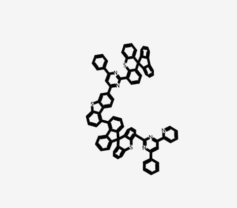 c1ccc(-c2cc(-c3ccc4c(c3)sc3cccc(-c5cccc6c5-c5ccccc5C65c6ccccc6Sc6c(-c7nc(-c8ccccc8)cc(-c8ccccn8)n7)cccc65)c34)nc(-c3cccc4c3Sc3ccccc3C43c4ccccc4-c4ccccc43)n2)cc1